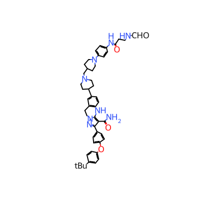 CC(C)(C)c1ccc(Oc2ccc(-c3nn4c(c3C(N)=O)Nc3ccc(C5CCN(CC6CCN(c7ccc(NC(=O)CCNC=O)cc7)CC6)CC5)cc3CC4)cc2)cc1